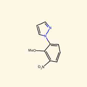 COc1c(-n2cccn2)cccc1[N+](=O)[O-]